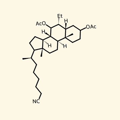 CC[C@H]1C(OC(C)=O)[C@@H]2[C@H](CC[C@]3(C)C([C@H](C)CCCCCC#N)CC[C@@H]23)[C@@]2(C)CCC(OC(C)=O)C[C@@H]12